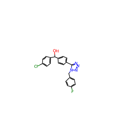 OC(c1ccc(Cl)cc1)c1ccc(-c2nnnn2Cc2ccc(F)cc2)cc1